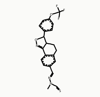 CN(C=S)/N=C/c1ccc2c(c1)CCC1C2=NOC1c1ccc(OC(F)(F)F)cc1